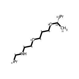 CC(C)CNCCOCCCO[C@@H](C)C(C)C